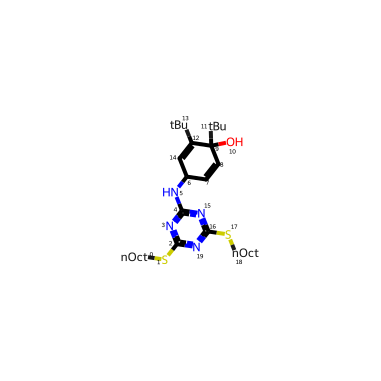 CCCCCCCCSc1nc(NC2C=CC(O)(C(C)(C)C)C(C(C)(C)C)=C2)nc(SCCCCCCCC)n1